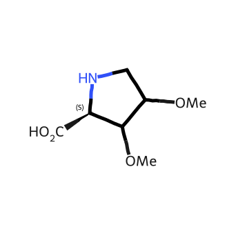 COC1CN[C@H](C(=O)O)C1OC